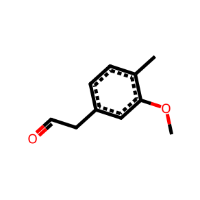 COc1cc(CC=O)ccc1C